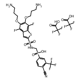 N#Cc1ccc(P(=O)(O)CNS(=O)(=O)c2cc3c(F)c(OCCCN)c(OCCCN)c(F)c3s2)cc1C(F)(F)F.O=C(O)C(F)(F)F.O=C(O)C(F)(F)F